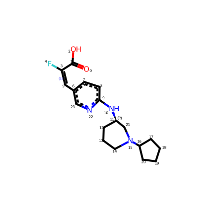 O=C(O)/C(F)=C\c1ccc(N[C@@H]2CCCN(C3CCCC3)C2)nc1